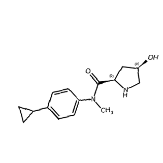 CN(C(=O)[C@H]1C[C@@H](O)CN1)c1ccc(C2CC2)cc1